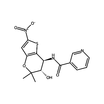 CC1(C)Oc2cc([N+](=O)[O-])sc2[C@@H](NC(=O)c2cccnc2)[C@@H]1O